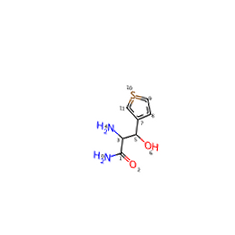 NC(=O)C(N)C(O)c1ccsc1